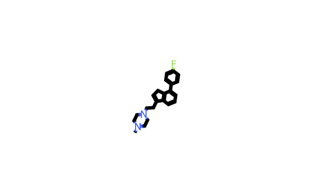 CN1CCN(CCC2=CCc3c2cccc3-c2ccc(F)cc2)CC1